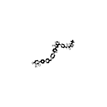 C[C@@H](NC(=O)c1nc(C(C)(C)C)no1)C1CCN(c2ncnc3[nH]c(-c4ccc(N5CCN(CC6CCN(c7ccc(N8CCC(=O)NC8=O)cc7)CC6)CC5)nc4)cc23)CC1